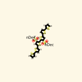 CCCCCCCCCCS(=O)(=O)c1cc(-c2ccc(-c3cccs3)s2)sc1-c1sc(-c2ccc(-c3cccs3)s2)cc1S(=O)(=O)CCCCCCCCCC